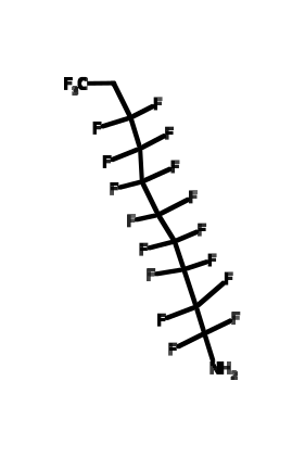 NC(F)(F)C(F)(F)C(F)(F)C(F)(F)C(F)(F)C(F)(F)C(F)(F)C(F)(F)CC(F)(F)F